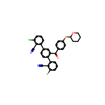 N#Cc1c(F)cccc1-c1ccc(-c2cccc(F)c2C#N)c(C(=O)c2ccc(SC3CCCCO3)cc2)c1